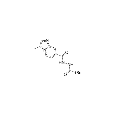 CC(C)(C)C(=O)NNC(=O)c1ccn2c(I)cnc2c1